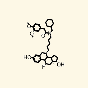 COc1ccc(CC(=O)N(CCCCC[C@@H]2Cc3cc(O)ccc3C3C2C2CC[C@H](O)[C@@]2(C)C[C@@H]3F)CC2CCCCC2)cc1OC